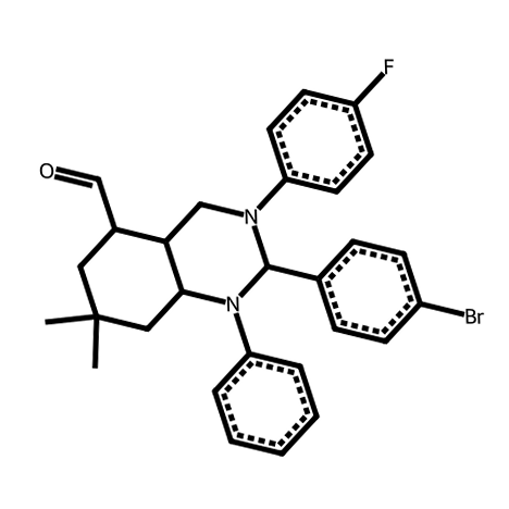 CC1(C)CC(C=O)C2CN(c3ccc(F)cc3)C(c3ccc(Br)cc3)N(c3ccccc3)C2C1